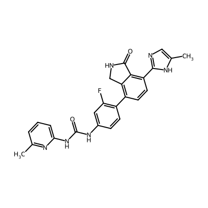 Cc1cccc(NC(=O)Nc2ccc(-c3ccc(-c4ncc(C)[nH]4)c4c3CNC4=O)c(F)c2)n1